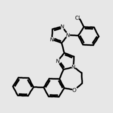 Clc1ccccc1-n1ncnc1-c1cn2c(n1)-c1cc(-c3ccccc3)ccc1OCC2